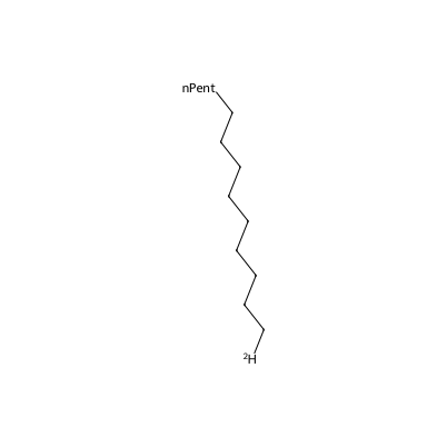 [2H]CCCCCCCCCCCCCC